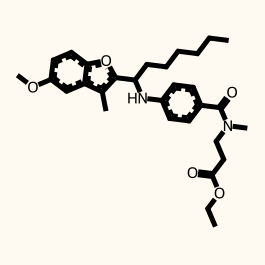 CCCCCCC(Nc1ccc(C(=O)N(C)CCC(=O)OCC)cc1)c1oc2ccc(OC)cc2c1C